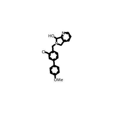 COc1ccc(-c2ccc(CN3Cc4cccnc4C3O)c(Cl)c2)cc1